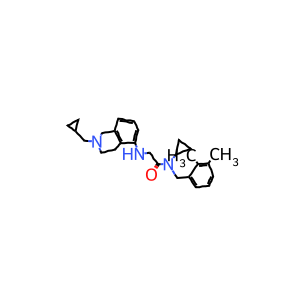 Cc1cccc(CN(C(=O)CNc2cccc3c2CCN(CC2CC2)C3)C2CC2)c1C